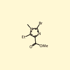 CCc1c(C(=O)OC)nc(Br)n1C